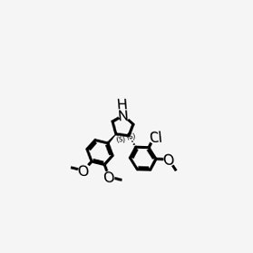 COc1ccc([C@H]2CNC[C@@H]2c2cccc(OC)c2Cl)cc1OC